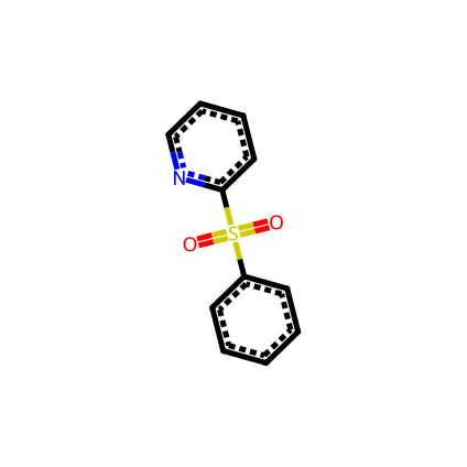 O=S(=O)(c1ccccc1)c1ccccn1